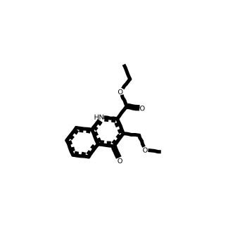 CCOC(=O)c1[nH]c2ccccc2c(=O)c1COC